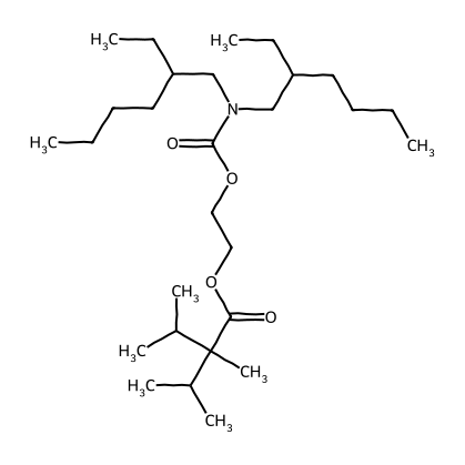 CCCCC(CC)CN(CC(CC)CCCC)C(=O)OCCOC(=O)C(C)(C(C)C)C(C)C